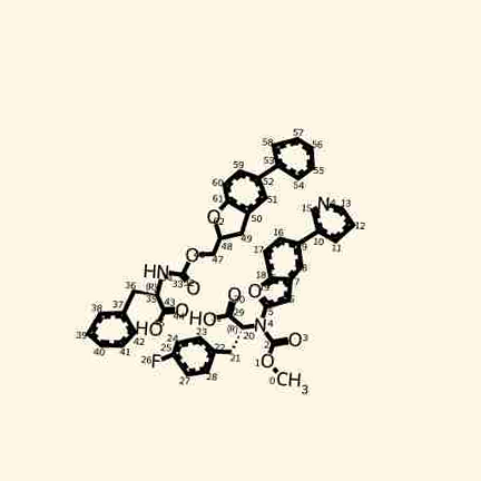 COC(=O)N(c1cc2cc(-c3cccnc3)ccc2o1)[C@H](Cc1ccc(F)cc1)C(=O)O.O=C(N[C@H](Cc1ccccc1)C(=O)O)OCC1Cc2cc(-c3ccccc3)ccc2O1